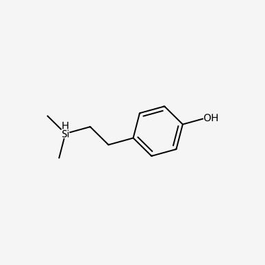 C[SiH](C)CCc1ccc(O)cc1